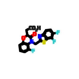 O=C(O)CC1Oc2cccc(F)c2N(Cc2nc3ccc(F)c(F)c3s2)C1=O